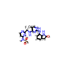 CN(c1ccnc(CNc2nc(Nc3cccc4c3NC(=O)C4)ncc2C(F)(F)F)n1)S(C)(=O)=O